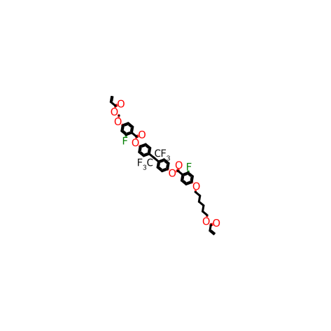 C=CC(=O)OCCCCCCOc1ccc(C(=O)Oc2ccc(C(c3ccc(OC(=O)c4ccc(OCOC(=O)C=C)cc4F)cc3)(C(F)(F)F)C(F)(F)F)cc2)c(F)c1